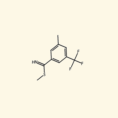 CSC(=N)c1cc(C)cc(C(F)(F)F)c1